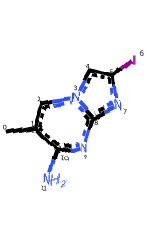 Cc1cn2cc(I)nc2nc1N